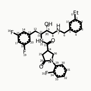 CCc1cccc(CNC[C@@H](O)[C@H](Cc2cc(F)cc(F)c2)NC(=O)C2CC(=O)N(c3ccccc3F)C2)c1